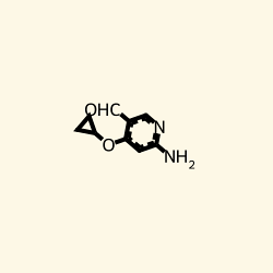 Nc1cc(OC2CC2)c(C=O)cn1